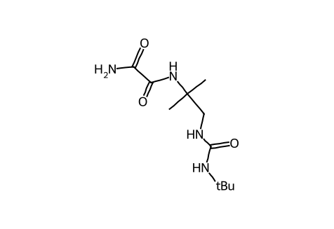 CC(C)(C)NC(=O)NCC(C)(C)NC(=O)C(N)=O